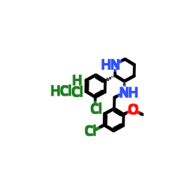 COc1ccc(Cl)cc1CN[C@H]1CCCN[C@H]1c1cccc(Cl)c1.Cl.Cl